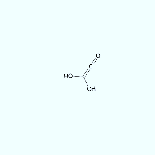 O=C=C(O)O